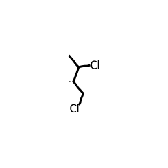 CC(Cl)[CH]CCl